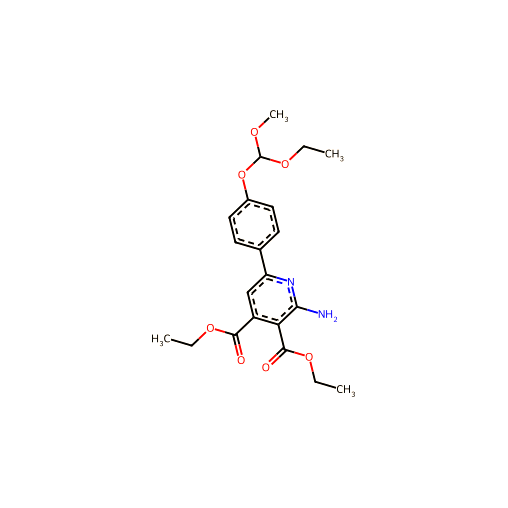 CCOC(=O)c1cc(-c2ccc(OC(OC)OCC)cc2)nc(N)c1C(=O)OCC